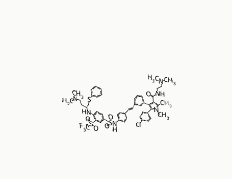 Cc1c(C(=O)NCCN(C)C)c(-c2cccc(C#Cc3ccc(NS(=O)(=O)c4ccc(NC(CCN(C)C)CSc5ccccc5)c(S(=O)(=O)C(F)(F)F)c4)cc3)c2)c(-c2ccc(Cl)cc2)n1C